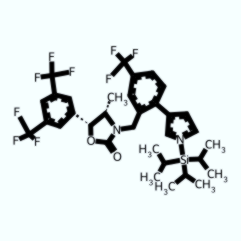 CC(C)[Si](C(C)C)(C(C)C)n1ccc(-c2ccc(C(F)(F)F)cc2CN2C(=O)O[C@H](c3cc(C(F)(F)F)cc(C(F)(F)F)c3)[C@@H]2C)c1